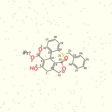 CC(C)OC(=O)C1=C(O)CC2=C(C(=O)OC2)C1c1ccccc1SCc1ccccc1